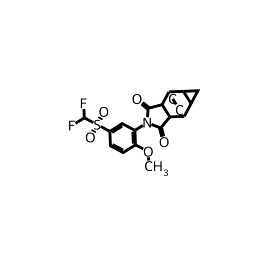 COc1ccc(S(=O)(=O)C(F)F)cc1N1C(=O)C2C3CCC(C4CC43)C2C1=O